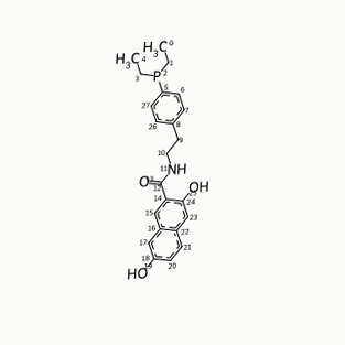 CCP(CC)c1ccc(CCNC(=O)c2cc3cc(O)ccc3cc2O)cc1